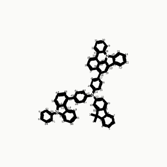 CC1(C)c2ccccc2-c2ccc(N(c3ccc(-c4cc5c6ccccc6n6c7ccccc7c7cccc4c7c56)cc3)c3ccc(-c4cccc5c4c4ccccc4n5-c4ccccc4)cc3)cc21